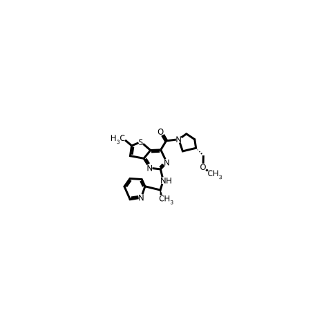 COC[C@H]1CCN(C(=O)c2nc(N[C@@H](C)c3ccccn3)nc3cc(C)sc23)C1